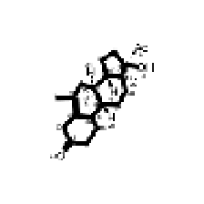 CC(=O)[C@@]1(O)CC[C@H]2[C@@H]3CC(C)=C4CC(=O)CC[C@]4(C)[C@H]3CC[C@@]21C